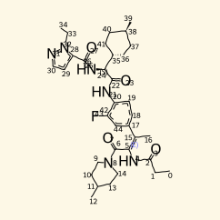 CCC(=O)N/C(C(=O)N1CCC(C)CC1)=C(\C)c1ccc(NC(=O)[C@@H](NC(=O)c2ccnn2CC)[C@H]2CC[C@H](C)CC2)c(F)c1